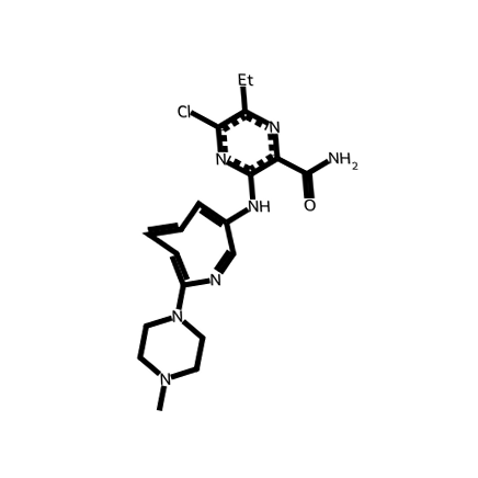 CCc1nc(C(N)=O)c(NC2=C/C=C/C=C(N3CCN(C)CC3)/N=C\2)nc1Cl